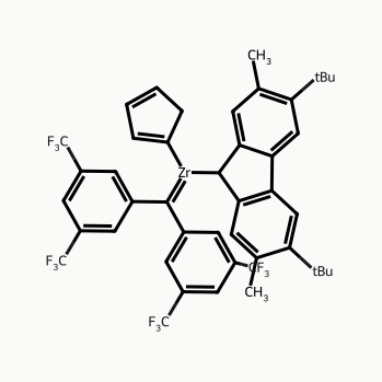 Cc1cc2c(cc1C(C)(C)C)-c1cc(C(C)(C)C)c(C)cc1[CH]2[Zr]([C]1=CC=CC1)=[C](c1cc(C(F)(F)F)cc(C(F)(F)F)c1)c1cc(C(F)(F)F)cc(C(F)(F)F)c1